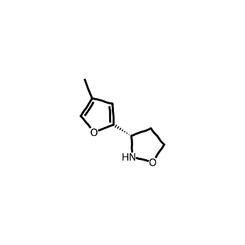 Cc1coc([C@@H]2CCON2)c1